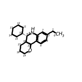 CCc1ccc2c(c1)N[C@@H](C1CCCCC1)C1CCCOC21